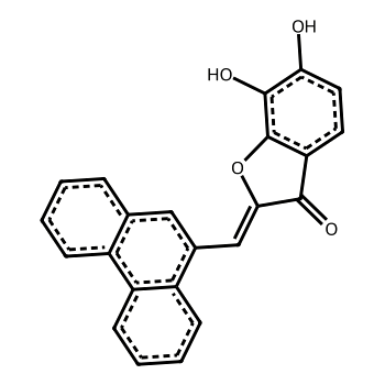 O=C1C(=Cc2cc3ccccc3c3ccccc23)Oc2c1ccc(O)c2O